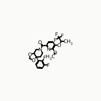 COc1nc(C(=O)N2CC[C@]3(c4cccc(F)c4F)OCOC3C2)ccc1OC(C)C(F)(F)F